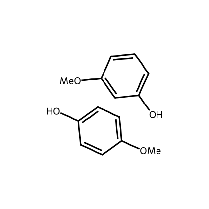 COc1ccc(O)cc1.COc1cccc(O)c1